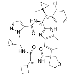 Cn1nccc1C(=O)N[C@H](c1nc2cc(C3(C(=O)N[C@@H](C(=O)NCC4CC4)C4CCC4)CCOC3)ccc2[nH]1)[C@H](c1ccccc1Cl)C1(C)CC1